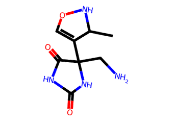 CC1NOC=C1C1(CN)NC(=O)NC1=O